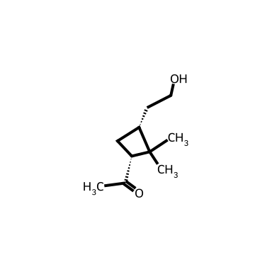 CC(=O)[C@@H]1C[C@H](CCO)C1(C)C